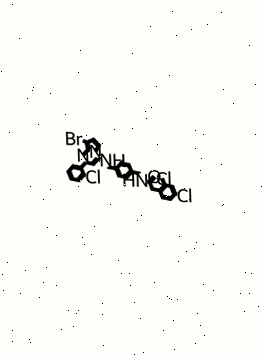 O=C(Cc1ccc(Cl)cc1Cl)NCc1ccc(CNc2cc(-c3ccccc3Cl)nc3c(Br)ccn23)cc1